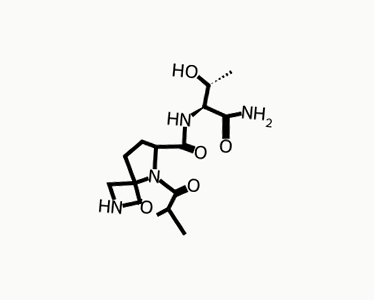 CC(C)C(=O)N1C(C(=O)N[C@H](C(N)=O)[C@@H](C)O)CCC12CNC2=O